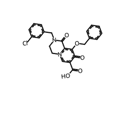 O=C(O)c1cn2c(c(OCc3ccccc3)c1=O)C(=O)N(Cc1cccc(Cl)c1)CC2